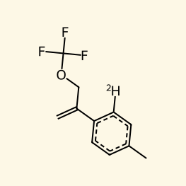 [2H]c1cc(C)ccc1C(=C)COC(F)(F)F